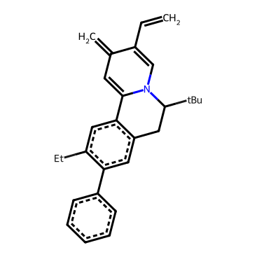 C=CC1=CN2C(=CC1=C)c1cc(CC)c(-c3ccccc3)cc1CC2C(C)(C)C